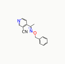 C/C(=N\OCc1ccccc1)c1ccncc1C#N